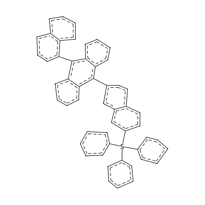 c1ccc(S(c2ccccc2)(c2ccccc2)c2ccc3ccc(-c4c5ccccc5c(-c5cccc6ccccc56)c5ccccc45)cc3c2)cc1